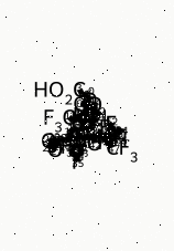 C[C@@H](CC(=O)O)OC(=O)N(c1nn(CC(F)(F)F)c2c(-c3ccc(CCC(C)(C)S(C)(=O)=O)nc3[C@H](Cc3cc(F)cc(F)c3)NC(=O)Cn3nc(C(F)(F)F)c4c3C(F)(F)C3C[C@H]43)ccc(Cl)c12)S(C)(=O)=O